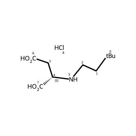 CC(C)(C)CCN[C@@H](CC(=O)O)C(=O)O.Cl